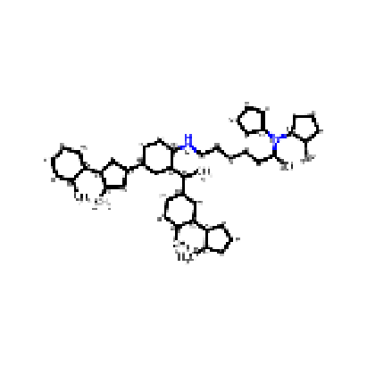 CCCC1CCCC1N(C(CC)CCCCCNC1CCC(C2CC(C)C(C3CCCCC3C)C2)CC1C(C)C1CCC(C)C(C2CCCC2C)C1)C1CCCC1